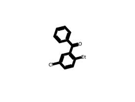 CCc1ccc(Cl)cc1C(=O)c1ccccc1